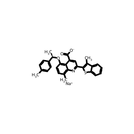 Cc1ccc([C@@H](C)Oc2ccc(C)c3nc(-c4sc5ccccc5c4C)cc(C(=O)[O-])c23)cc1.[Na+]